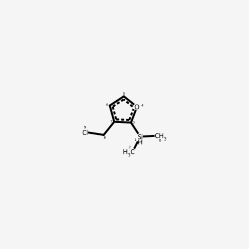 C[SiH](C)c1occc1CCl